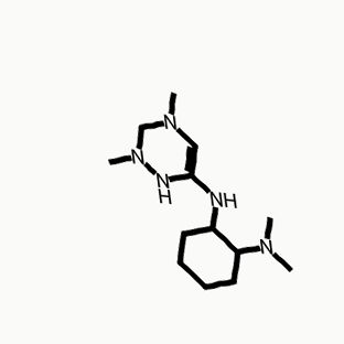 CN1C=C(NC2CCCCC2N(C)C)NN(C)C1